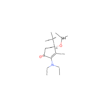 CCN(CC)C1=C(C)[C@](O[SiH](C)C)(C(C)(C)C)CC1=O